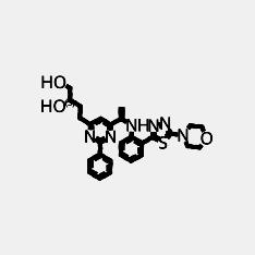 C=C(Nc1ccccc1-c1nnc(N2CCOCC2)s1)c1cc(CC[C@H](O)CO)nc(-c2ccccc2)n1